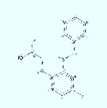 Cc1cnc(OC[C@@H](C)O)c(SCc2ccccc2)c1